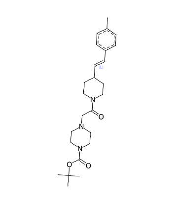 Cc1ccc(/C=C/C2CCN(C(=O)CN3CCN(C(=O)OC(C)(C)C)CC3)CC2)cc1